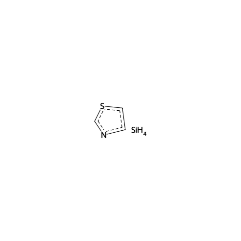 [SiH4].c1cscn1